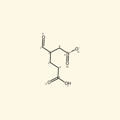 O=CC(CCC(=O)O)C[N+](=O)[O-]